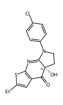 CCc1cc2c(s1)N=C1N(c3ccc(Cl)cc3)CC[C@@]1(O)C2=O